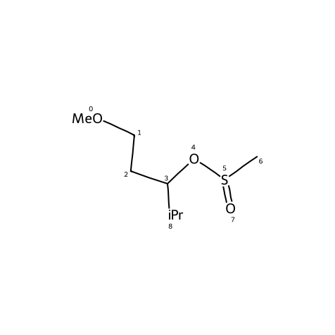 COCCC(OS(C)=O)C(C)C